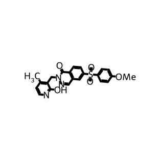 COc1ccc(S(=O)(=O)c2ccc3c(=O)n(Cc4c(C)ccnc4O)ncc3c2)cc1